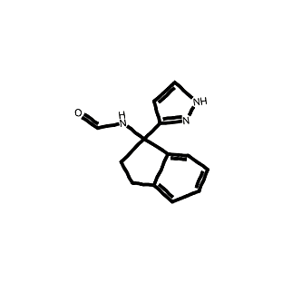 O=CNC1(c2cc[nH]n2)CCc2ccccc21